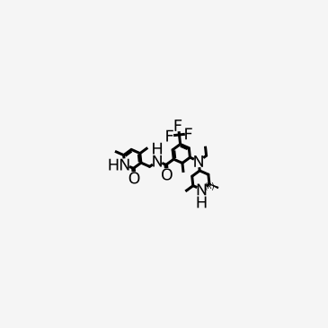 CCN(C1CC(C)N[C@H](C)C1)C1C=C(C(F)(F)F)C=C(C(=O)NCc2c(C)cc(C)[nH]c2=O)C1C